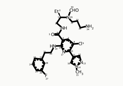 CC[C@H](CNC(=O)c1cc(Cl)c(-c2cnn(C)c2)nc1NCCc1cccc(F)c1)N(C=O)CCCN